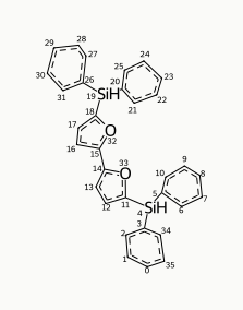 c1ccc([SiH](c2ccccc2)c2ccc(-c3ccc([SiH](c4ccccc4)c4ccccc4)o3)o2)cc1